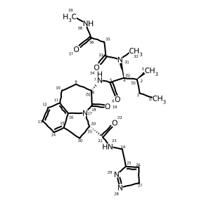 CC[C@H](C)[C@@H](C(=O)N[C@H]1CCc2cccc3c2N(C1=O)[C@H](C(=O)NCC1=CCN=N1)C3)N(C)C(=O)CC(=O)NC